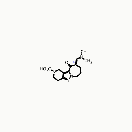 CN(C)/C=C1\CCCn2nc3c(c2C1=O)CN(C(=O)O)CC3